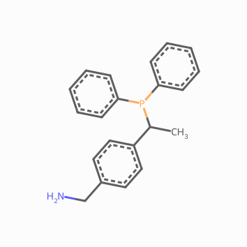 CC(c1ccc(CN)cc1)P(c1ccccc1)c1ccccc1